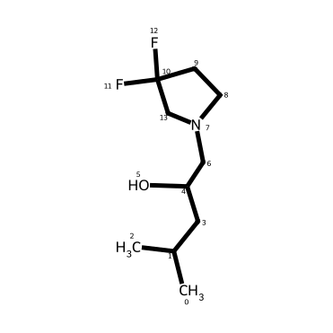 CC(C)CC(O)CN1CCC(F)(F)C1